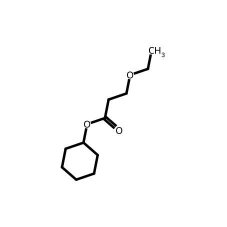 CCOCCC(=O)OC1CCCCC1